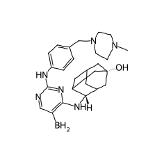 Bc1cnc(Nc2ccc(CN3CCN(C)CC3)cc2)nc1N[C@H]1C2CC3CC1C[C@@](O)(C3)C2